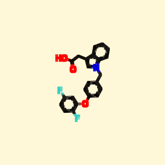 O=C(O)Cc1cn(Cc2ccc(Oc3cc(F)ccc3F)cc2)c2ccccc12